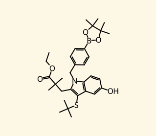 CCOC(=O)C(C)(C)Cc1c(SC(C)(C)C)c2cc(O)ccc2n1Cc1ccc(B2OC(C)(C)C(C)(C)O2)cc1